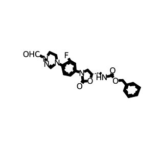 O=CN1CCN(c2ccc(N3C[C@H](CNC(=O)OCc4ccccc4)OC3=O)cc2F)C=N1